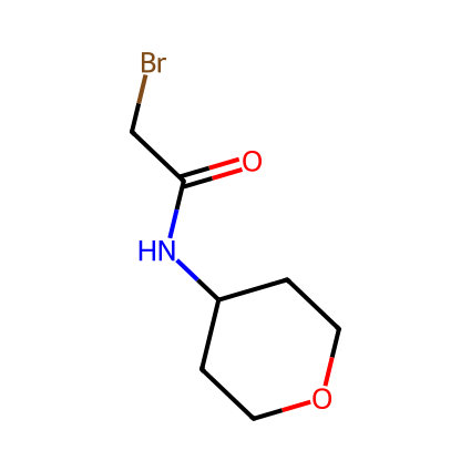 O=C(CBr)NC1CCOCC1